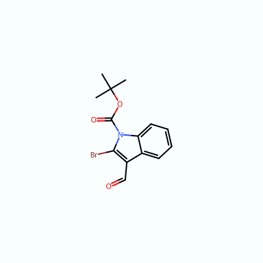 CC(C)(C)OC(=O)n1c(Br)c(C=O)c2ccccc21